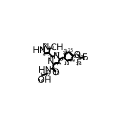 Cc1n[nH]cc1-c1nc(C(=O)NCCO)cc(-c2ccc(OC(F)F)cc2)n1